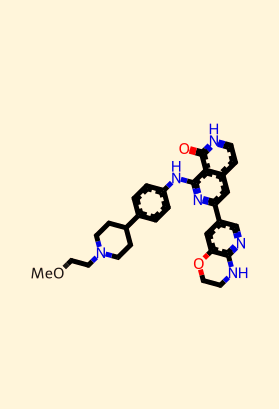 COCCN1CCC(c2ccc(Nc3nc(-c4cnc5c(c4)OCCN5)cc4cc[nH]c(=O)c34)cc2)CC1